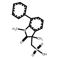 CN1C(=O)C(C)(CS(=O)(=O)O)c2cccc(-c3ccccc3)c21